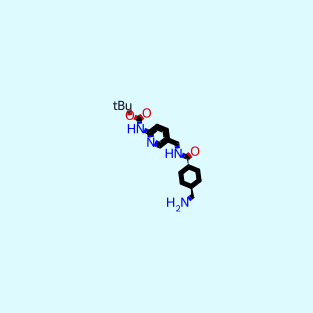 CC(C)(C)OC(=O)Nc1ccc(CNC(=O)[C@H]2CC[C@H](CN)CC2)cn1